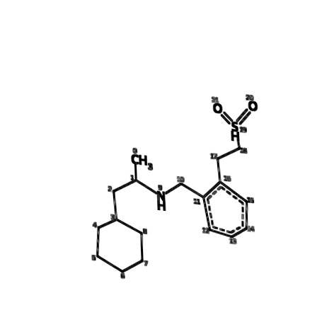 CC(CC1CCCCC1)NCc1ccccc1CC[SH](=O)=O